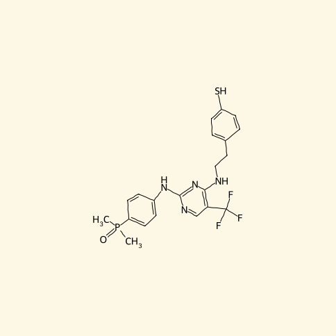 CP(C)(=O)c1ccc(Nc2ncc(C(F)(F)F)c(NCCc3ccc(S)cc3)n2)cc1